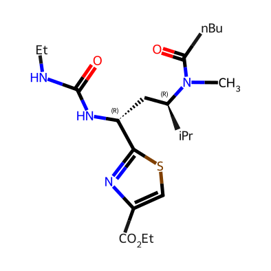 CCCCC(=O)N(C)[C@H](C[C@@H](NC(=O)NCC)c1nc(C(=O)OCC)cs1)C(C)C